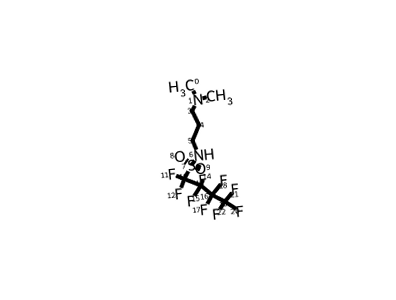 CN(C)CCCNS(=O)(=O)C(F)(F)C(F)(F)C(F)(F)C(F)(F)F